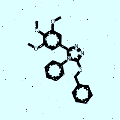 COc1cc(-c2nnc(SCc3ccccc3)n2-c2ccccc2)cc(OC)c1OC